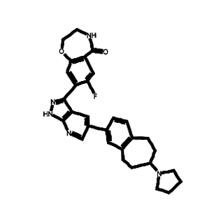 O=C1NCCOc2cc(-c3n[nH]c4ncc(-c5ccc6c(c5)CCC(N5CCCC5)CC6)cc34)c(F)cc21